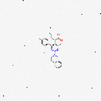 CCCC(C(=O)O)c1c(C)nc(N2CCc3ccccc3C2)nc1-c1ccc(C)cc1